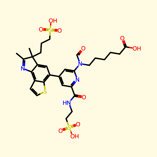 CC1=Nc2c(cc(-c3cc(C(=O)NCCS(=O)(=O)O)nc(N(C=O)CCCCCC(=O)O)c3)c3sccc23)C1(C)CCCS(=O)(=O)O